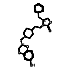 O=C1OC[C@H](Cc2ccccc2)N1CCC1CCN(C[C@H]2COc3cc(O)ccc3O2)CC1